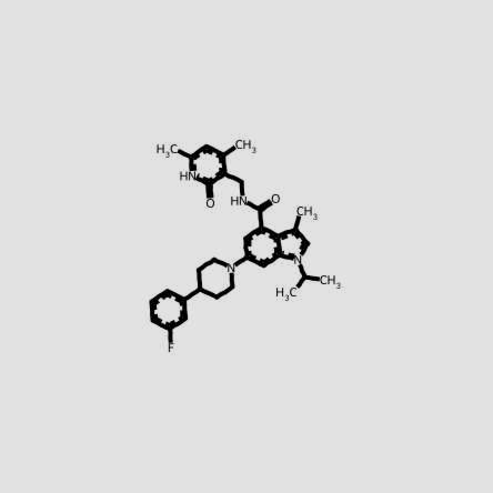 Cc1cc(C)c(CNC(=O)c2cc(N3CCC(c4cccc(F)c4)CC3)cc3c2c(C)cn3C(C)C)c(=O)[nH]1